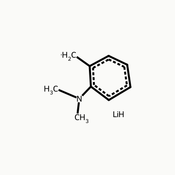 [CH2]c1ccccc1N(C)C.[LiH]